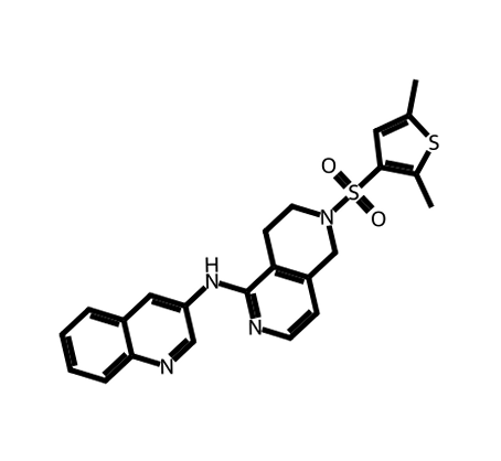 Cc1cc(S(=O)(=O)N2CCc3c(ccnc3Nc3cnc4ccccc4c3)C2)c(C)s1